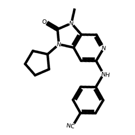 Cn1c(=O)n(C2CCCC2)c2cc(Nc3ccc(C#N)cc3)ncc21